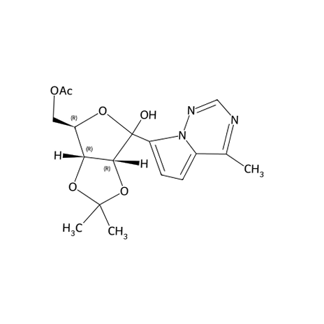 CC(=O)OC[C@H]1OC(O)(c2ccc3c(C)ncnn23)[C@@H]2OC(C)(C)O[C@@H]21